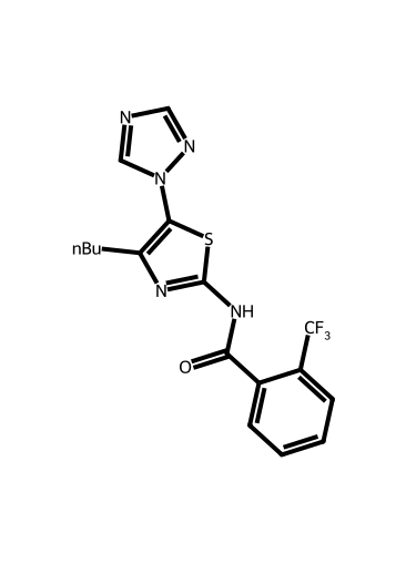 CCCCc1nc(NC(=O)c2ccccc2C(F)(F)F)sc1-n1cncn1